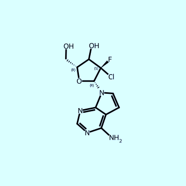 Nc1ncnc2c1ccn2[C@@H]1O[C@H](CO)C(O)[C@]1(F)Cl